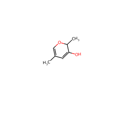 CC1=COC(C)C(O)=[C]1